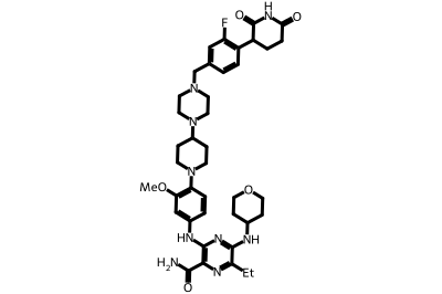 CCc1nc(C(N)=O)c(Nc2ccc(N3CCC(N4CCN(Cc5ccc(C6CCC(=O)NC6=O)c(F)c5)CC4)CC3)c(OC)c2)nc1NC1CCOCC1